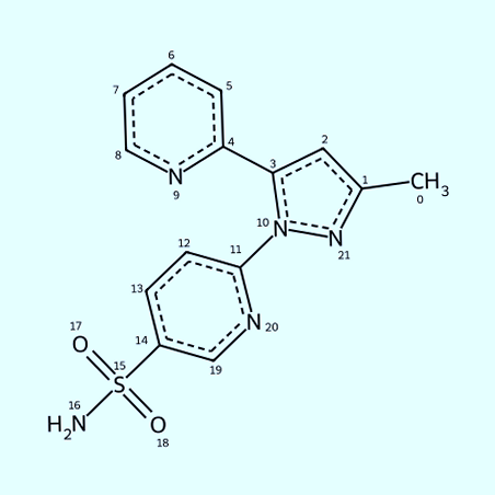 Cc1cc(-c2ccccn2)n(-c2ccc(S(N)(=O)=O)cn2)n1